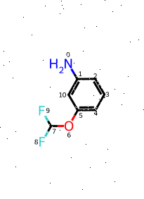 Nc1c[c]cc(OC(F)F)c1